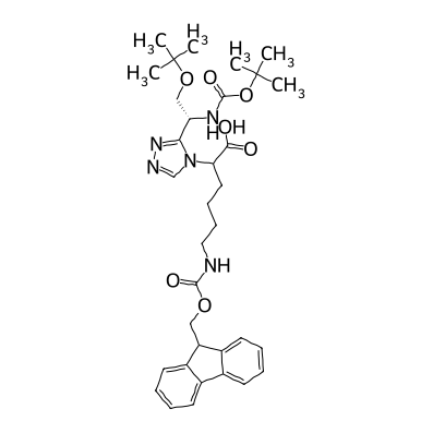 CC(C)(C)OC[C@H](NC(=O)OC(C)(C)C)c1nncn1C(CCCCNC(=O)OCC1c2ccccc2-c2ccccc21)C(=O)O